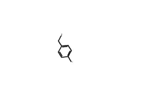 [CH]c1ccc(CI)cc1